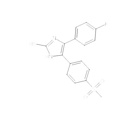 CS(=O)(=O)c1ccc(-c2[nH]c(S)nc2-c2ccc(F)cc2)cc1